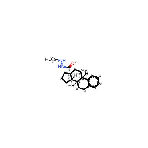 O=C(NNS(=O)(=O)O)[C@@]12CCC[C@H]1[C@@H]1CCc3ccccc3[C@H]1CC2